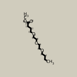 CCCCOCCOCCOCCCC(=O)OC